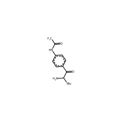 CC(C)(C)C(N)C(=O)c1ccc(NC(=O)C(F)(F)F)cc1